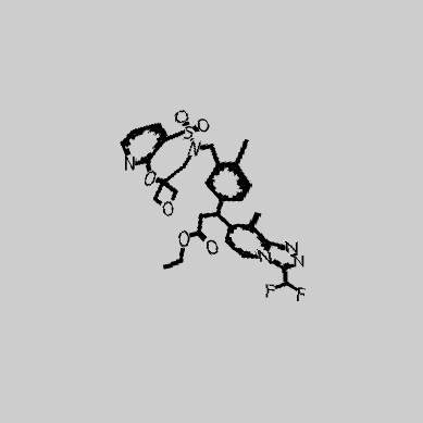 CCOC(=O)CC(c1ccc(C)c(CN2CC3(COC3)Oc3ncccc3S2(=O)=O)c1)c1ccn2c(C(F)F)nnc2c1C